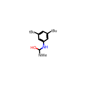 CNC(O)Nc1cc(C(C)(C)C)cc(C(C)(C)C)c1